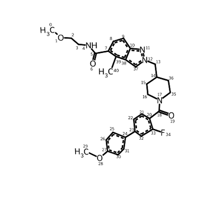 COCCNC(=O)c1ccc2nn(CC3CCN(C(=O)c4ccc(-c5ccc(OC)cc5)cc4F)CC3)cc2c1C